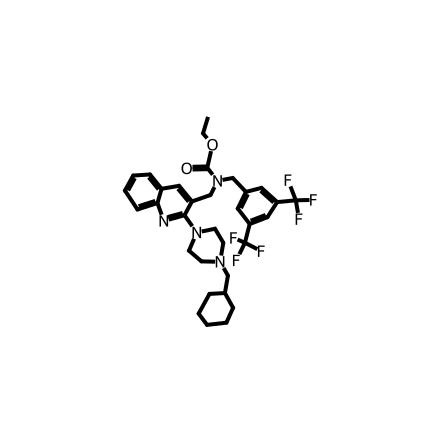 CCOC(=O)N(Cc1cc(C(F)(F)F)cc(C(F)(F)F)c1)Cc1cc2ccccc2nc1N1CCN(CC2CCCCC2)CC1